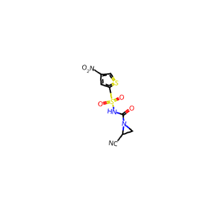 N#CC1CN1C(=O)NS(=O)(=O)c1cc([N+](=O)[O-])cs1